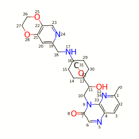 Cc1ccc2ncc(=O)n(CC(O)C34CCC(NCc5cc6c(cn5)OCCO6)(CC3)CO4)c2n1